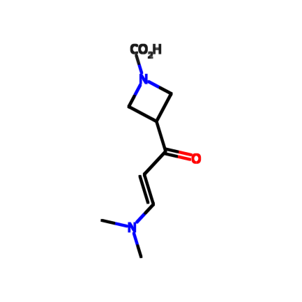 CN(C)C=CC(=O)C1CN(C(=O)O)C1